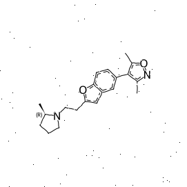 Cc1noc(C)c1-c1ccc2oc(CCN3CCC[C@H]3C)cc2c1